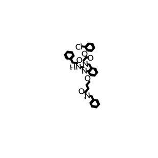 CN(Cc1ccccc1)C(=O)CCCOc1cccc2c1N=C(NC(=O)Cc1ccccc1)N(CC(=O)Oc1ccccc1Cl)C2